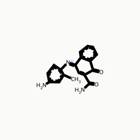 Cc1cc(N)ccc1/N=C1\C=C(C(N)=O)C(=O)c2ccccc21